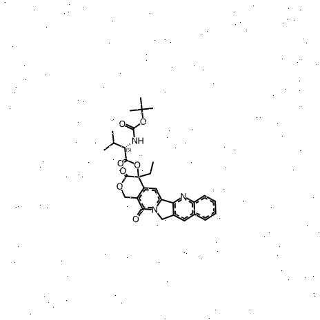 CCC1(OC(=O)[C@@H](NC(=O)OC(C)(C)C)C(C)C)C(=O)OCc2c1cc1n(c2=O)Cc2cc3ccccc3nc2-1